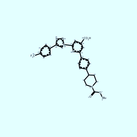 CC(C)(C)OC(=O)N1CCC(c2ccc(-c3cc(C(=O)O)cc(-n4cc(-c5ccc(C(F)(F)F)cc5)nn4)n3)cc2)CC1